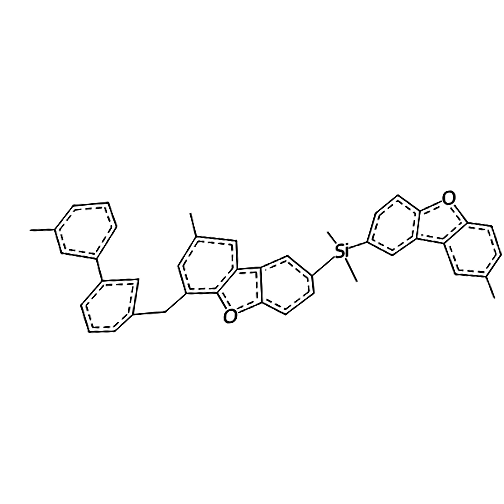 Cc1cccc(-c2cccc(Cc3cc(C)cc4c3oc3ccc([Si](C)(C)c5ccc6oc7ccc(C)cc7c6c5)cc34)c2)c1